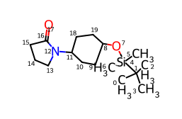 CC(C)(C)[Si](C)(C)OC1CCC(N2CCCC2=O)CC1